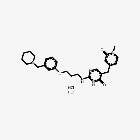 Cl.Cl.Cn1ccc(Cc2cnc(NCCCOc3cccc(CN4CCCCC4)c3)[nH]c2=O)cc1=O